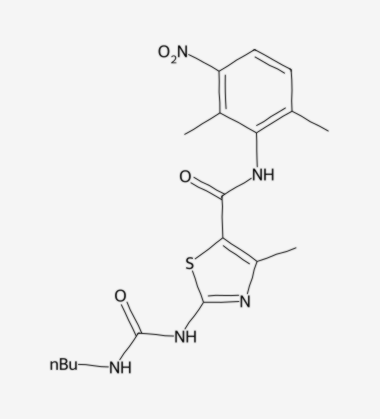 CCCCNC(=O)Nc1nc(C)c(C(=O)Nc2c(C)ccc([N+](=O)[O-])c2C)s1